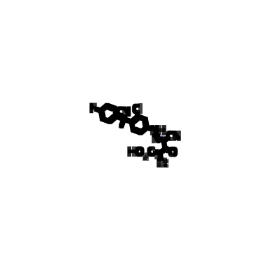 CCN(C(=O)O)C(=O)/C(C#N)=N/Nc1ccc(C(C)(C#N)c2ccc(F)cc2)c(Cl)c1